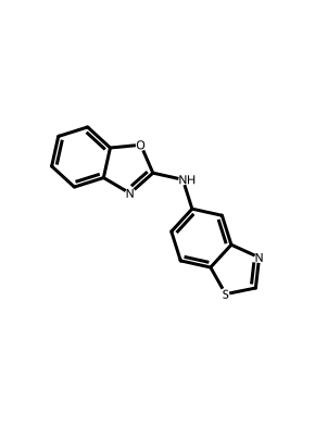 c1ccc2oc(Nc3ccc4scnc4c3)nc2c1